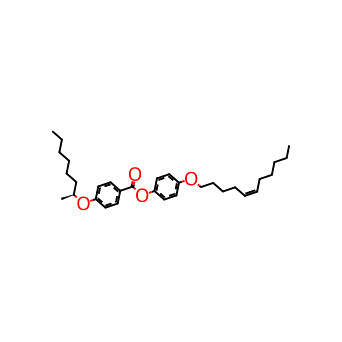 CCCCC/C=C\CCCCOc1ccc(OC(=O)c2ccc(O[C@@H](C)CCCCCC)cc2)cc1